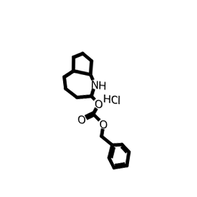 Cl.O=C(OCc1ccccc1)OC1CCCC2CCCC2N1